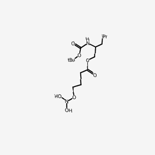 CC(C)CC(COC(=O)CCCON(O)O)NC(=O)OC(C)(C)C